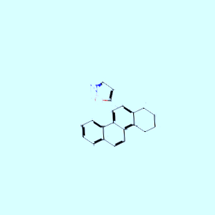 c1ccc2c(c1)ccc1c3c(ccc12)CCCC3.c1cnoc1